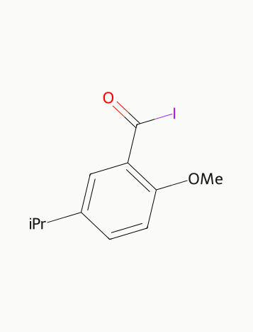 COc1ccc(C(C)C)cc1C(=O)I